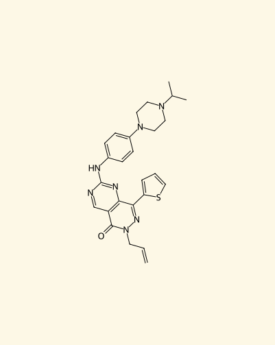 C=CCn1nc(-c2cccs2)c2nc(Nc3ccc(N4CCN(C(C)C)CC4)cc3)ncc2c1=O